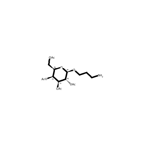 CC(=O)OC[C@H]1O[C@@H](OCCCN)[C@H](OC(C)=O)[C@@H](OC(C)=O)[C@H]1OC(C)=O